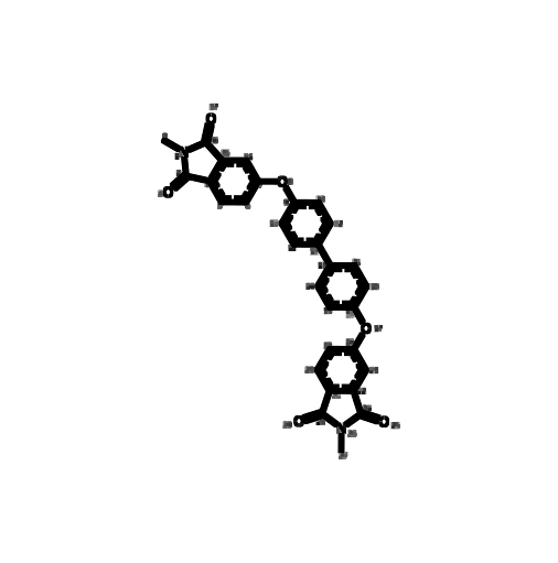 CN1C(=O)c2ccc(Oc3ccc(-c4ccc(Oc5ccc6c(c5)C(=O)N(C)C6=O)cc4)cc3)cc2C1=O